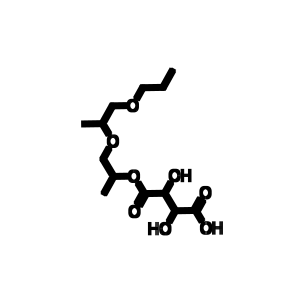 CCCOCC(C)OCC(C)OC(=O)C(O)C(O)C(=O)O